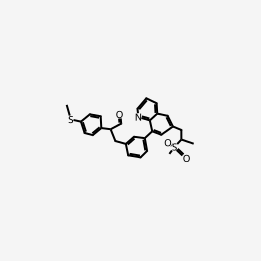 CSc1ccc(C(C=O)Cc2cccc(-c3cc(CC(C)S(C)(=O)=O)cc4cccnc34)c2)cc1